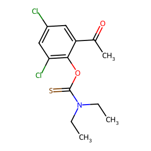 CCN(CC)C(=S)Oc1c(Cl)cc(Cl)cc1C(C)=O